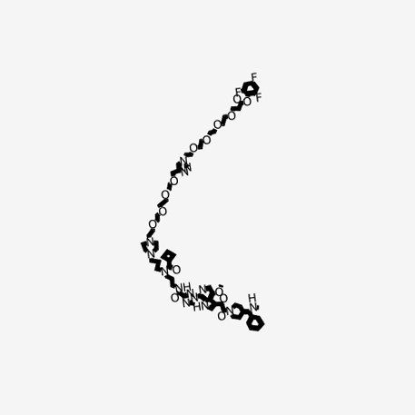 CNC(=C1CCN(C(=O)C(=O)c2c[nH]c3c(-n4cnc(C(=O)NCCCN(CCCN5CCN(CCOCCOCCOCCOCc6cn(CCOCCOCCOCCOCCC(=O)Oc7c(F)cc(F)cc7F)nn6)CC5)C(=O)C5CCC5)n4)ncc(OC)c23)CC1)c1ccccc1